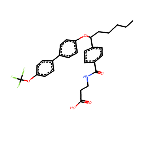 CCCCCC(Oc1ccc(-c2ccc(OC(F)(F)F)cc2)cc1)c1ccc(C(=O)NCCC(=O)O)cc1